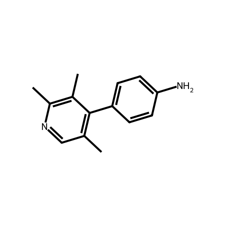 Cc1cnc(C)c(C)c1-c1ccc(N)cc1